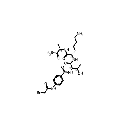 BC(=O)[C@@H](C)NC(=O)[C@H](CCCCN)NC(=O)[C@@H](NC(=O)c1ccc(NC(=O)CBr)cc1)[C@@H](C)O